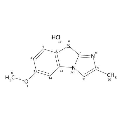 COc1ccc2sc3nc(C)cn3c2c1.Cl